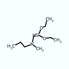 CCCN(C)C[SiH](OCC)OCC